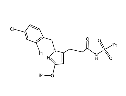 CC(C)Oc1cc(CCC(=O)NS(=O)(=O)C(C)C)n(Cc2ccc(Cl)cc2Cl)n1